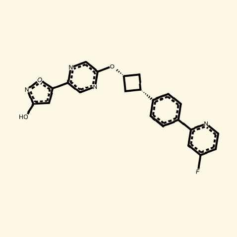 Oc1cc(-c2cnc(O[C@H]3C[C@@H](c4ccc(-c5cc(F)ccn5)cc4)C3)cn2)on1